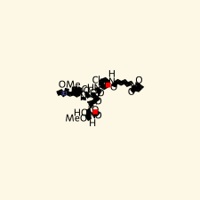 C=C/C=C(\C)Cc1cc(OC)c(Cl)c(N(C)C(=O)C[C@H](OC(=O)Nc2ccc(NC(=O)CCCCCN3C(=O)C=CC3=O)cc2Cl)[C@]2(C)O[C@H]2[C@H](C)[C@@H]2C[C@](O)([C@@H](C)OC)NC(=O)O2)c1